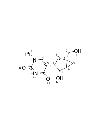 CCCn1cc([C@@H]2O[C@@]3(CO)CC3[C@@H]2O)c(=O)[nH]c1=O